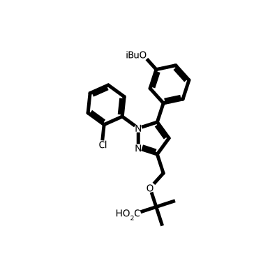 CC(C)COc1cccc(-c2cc(COC(C)(C)C(=O)O)nn2-c2ccccc2Cl)c1